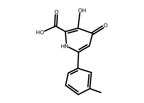 Cc1cccc(-c2cc(=O)c(O)c(C(=O)O)[nH]2)c1